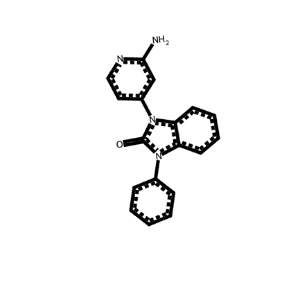 Nc1cc(-n2c(=O)n(-c3ccccc3)c3ccccc32)ccn1